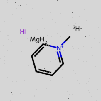 C[n+]1ccccc1.I.[2H].[MgH2]